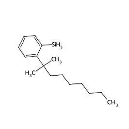 CCCCCCCC(C)(C)c1ccccc1[SiH3]